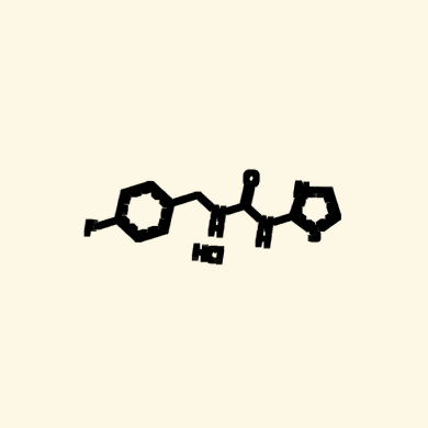 Cl.O=C(NCc1ccc(F)cc1)Nc1nccs1